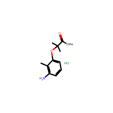 COC(=O)C(C)(C)Oc1cccc(N)c1C.Cl